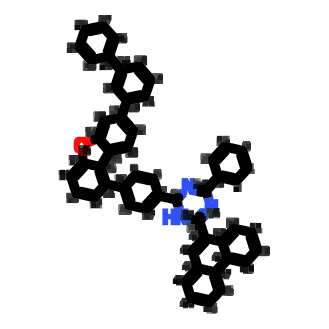 c1ccc(C2=NC(c3ccc(-c4cccc5oc6cc(-c7cccc(-c8ccccc8)c7)ccc6c45)cc3)NC(c3cc4ccccc4c4ccccc34)=N2)cc1